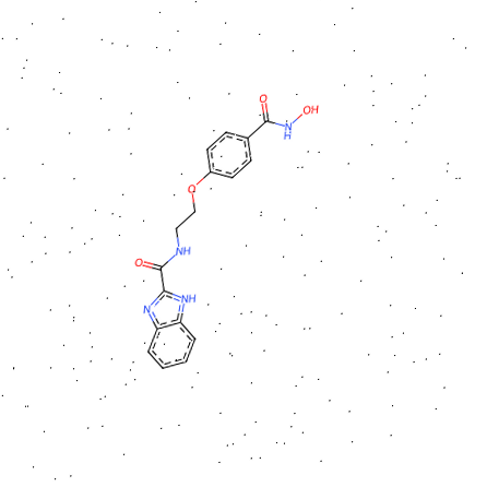 O=C(NO)c1ccc(OCCNC(=O)c2nc3ccccc3[nH]2)cc1